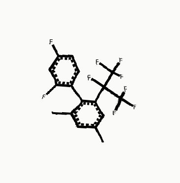 Cc1[c]c(C)c(-c2ccc(F)cc2F)c(C(F)(C(F)(F)F)C(F)(F)F)c1